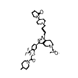 CC1CCN(C(=O)CSc2cc(-c3nn(CCCN4CCC(N5CCCC5=O)CC4)c4c3CN([S+](C)[O-])CC4)ccc2C(F)(F)F)CC1